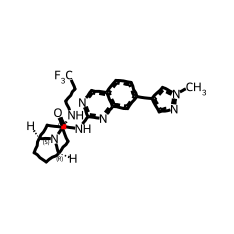 Cn1cc(-c2ccc3cnc(NC(=O)N4[C@@H]5CC[C@H]4C[C@H](NCCC(F)(F)F)C5)nc3c2)cn1